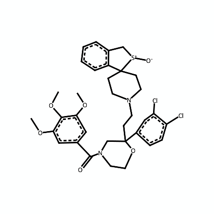 COc1cc(C(=O)N2CCOC(CCN3CCC4(CC3)c3ccccc3C[S+]4[O-])(c3ccc(Cl)c(Cl)c3)C2)cc(OC)c1OC